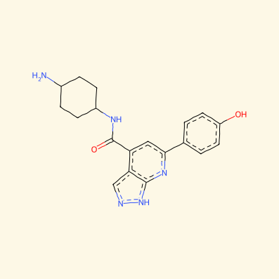 NC1CCC(NC(=O)c2cc(-c3ccc(O)cc3)nc3[nH]ncc23)CC1